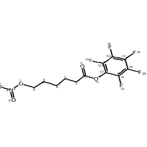 O=C(CCCCCO[N+](=O)[O-])Oc1c(F)c(F)c(F)c(F)c1F